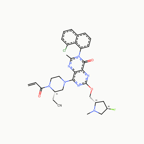 C=CC(=O)N1CCN(c2nc(OC[C@@H]3C[C@@H](F)CN3C)nc3c(=O)n(-c4cccc5cccc(Cl)c45)c(C)nc23)C[C@@H]1CC#N